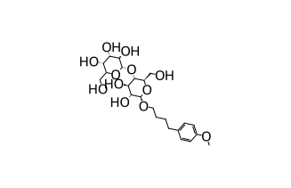 COc1ccc(CCCCO[C@@H]2O[C@H](CO)[C@@H](O[C@@H]3OC(CO)[C@H](O)[C@H](O)[C@H]3O)[C@H](O)[C@H]2O)cc1